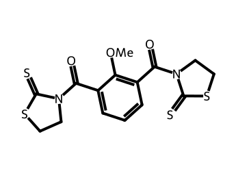 COc1c(C(=O)N2CCSC2=S)cccc1C(=O)N1CCSC1=S